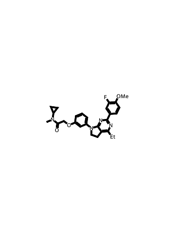 CCc1nc(-c2ccc(OC)c(F)c2)nc2c1CCN2c1cccc(OCC(=O)N(C)C2CC2)c1